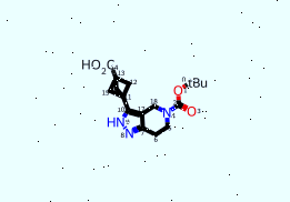 CC(C)(C)OC(=O)N1CCc2n[nH]c(C34CC(C(=O)O)(C3)C4)c2C1